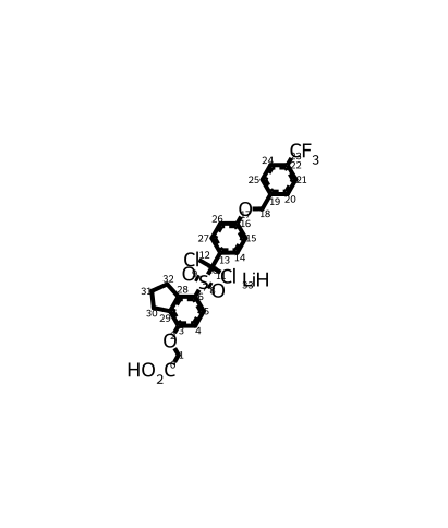 O=C(O)COc1ccc(S(=O)(=O)C(Cl)(Cl)c2ccc(OCc3ccc(C(F)(F)F)cc3)cc2)c2c1CCC2.[LiH]